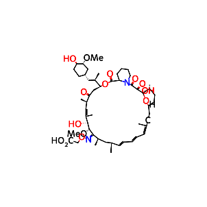 CO[C@@H]1C[C@H](C[C@@H](C)[C@@H]2CC(=O)[C@H](C)/C=C(\C)[C@@H](O)[C@@H](OC)/C(=N\OCC(=O)O)[C@H](C)C[C@H](C)/C=C/C=C/C=C(\C)CC[C@@H]3CC[C@@H](C)[C@@](O)(O3)C(=O)C(=O)N3CCCCC3C(=O)O2)CC[C@H]1O